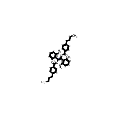 CCCCc1ccc(C(=O)O/C(=C(/OC(=O)c2ccc(CCCC)cc2)c2c(C)cccc2C)c2c(C)cccc2C)cc1